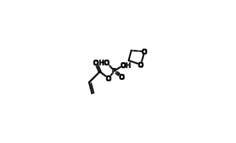 C1COO1.C=CC(=O)OP(=O)(O)O